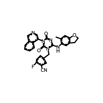 Cc1cc2c(cc1Nc1nc(=O)n(-c3cncc4ccccc34)c(=O)n1Cc1ccc(F)c(C#N)c1)CCO2